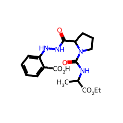 CCOC(=O)C(C)NC(=O)N1CCCC1C(=O)NNc1ccccc1C(=O)O